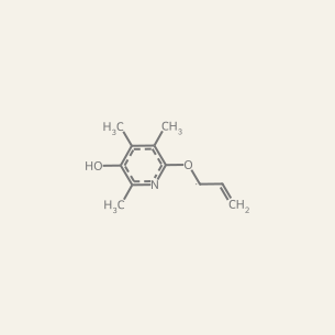 C=C[CH]Oc1nc(C)c(O)c(C)c1C